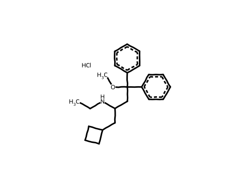 CCNC(CC1CCC1)CC(OC)(c1ccccc1)c1ccccc1.Cl